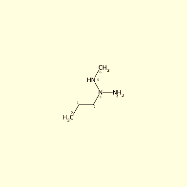 CCCN(N)NC